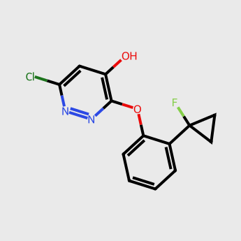 Oc1cc(Cl)nnc1Oc1ccccc1C1(F)CC1